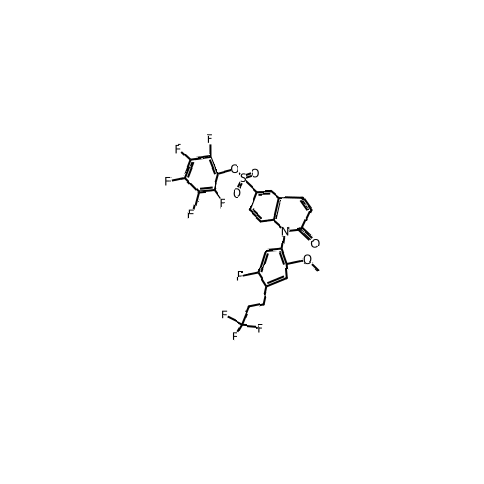 COc1cc(CCC(F)(F)F)c(F)cc1-n1c(=O)ccc2cc(S(=O)(=O)Oc3c(F)c(F)c(F)c(F)c3F)ccc21